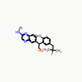 COc1ccc(CC(C)(C)F)cc1C(CO)c1ccc2nc(NC(C)C)cnc2c1